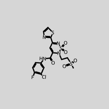 CS(=O)(=O)CCN1C(C(=O)Nc2ccc(F)c(Cl)c2)=CC(c2nccs2)=NS1(=O)=O